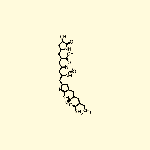 CCC(CC(C#N)CC1CC(CC(CC(N)CC(CC2CC(C)C(=O)N2)C(=O)O)NC=O)N=C1N)C(N)=O